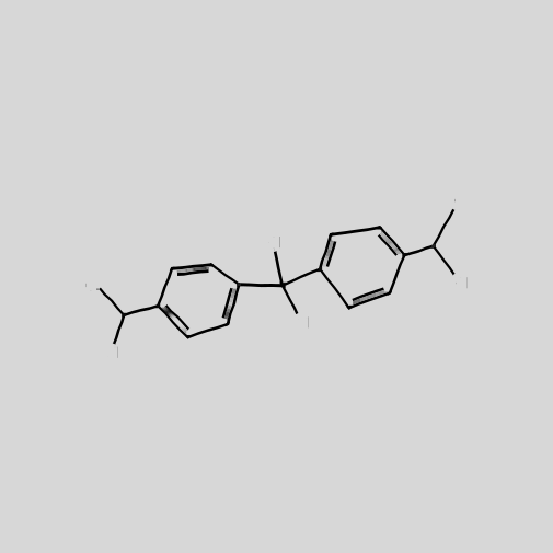 ClC(Cl)c1ccc(C(Cl)(Cl)c2ccc(C(Cl)Cl)cc2)cc1